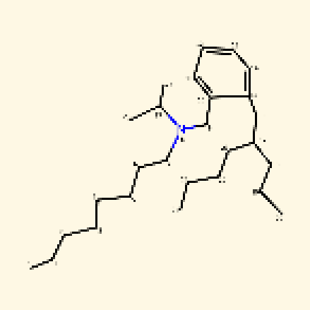 CCCCCCCCN(Cc1ccccc1CC(CCC)CCCC)C(C)C